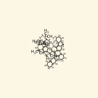 CC1(C)CCC(C)(C)c2cc(CC3C4=C(B5c6c(cc7sc8ccccc8c7c63)-c3cccc6c7cc8ccccc8cc7n5c36)C(C)(C)c3cc5c(cc34)C(C)(C)CCC5(C)C)ccc21